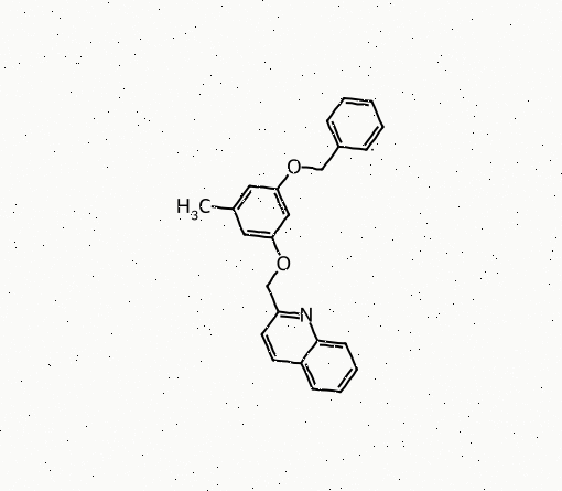 Cc1cc(OCc2[c]cccc2)cc(OCc2ccc3ccccc3n2)c1